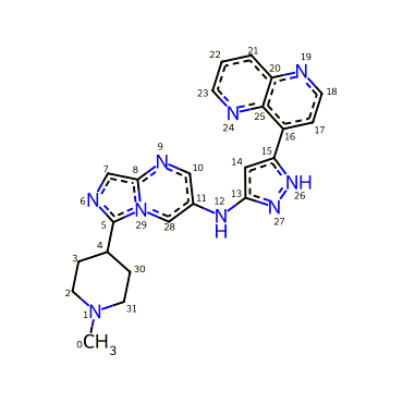 CN1CCC(c2ncc3ncc(Nc4cc(-c5ccnc6cccnc56)[nH]n4)cn23)CC1